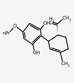 C=C(C)[C@@H]1CCC(C)=CC1c1c(O)cc(OCCC)cc1O